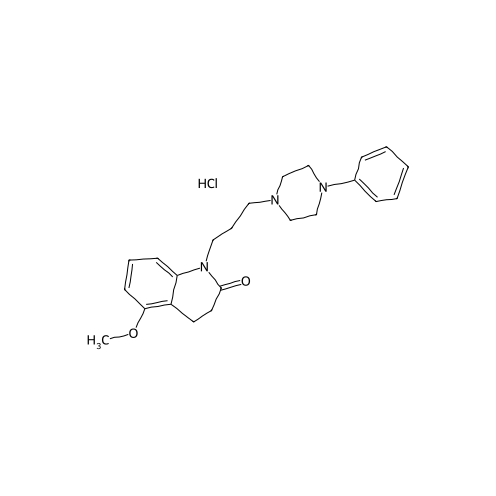 COc1cccc2c1CCC(=O)N2CCCN1CCN(c2ccccc2)CC1.Cl